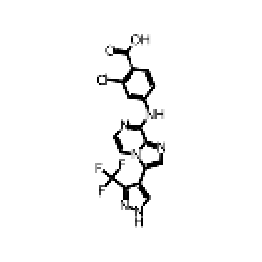 O=C(O)c1ccc(Nc2nccn3c(-c4c[nH]nc4C(F)(F)F)cnc23)cc1Cl